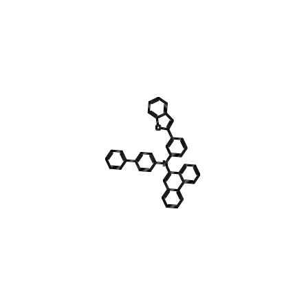 c1ccc(-c2ccc(N(c3cccc(-c4cc5ccccc5o4)c3)c3cc4ccccc4c4ccccc34)cc2)cc1